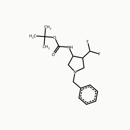 CC(C)(C)OC(=O)NC1CN(Cc2ccccc2)CC1C(F)F